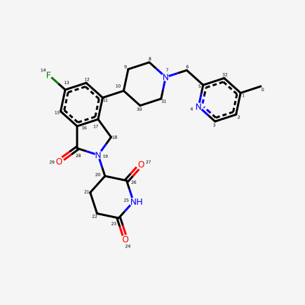 Cc1ccnc(CN2CCC(c3cc(F)cc4c3CN(C3CCC(=O)NC3=O)C4=O)CC2)c1